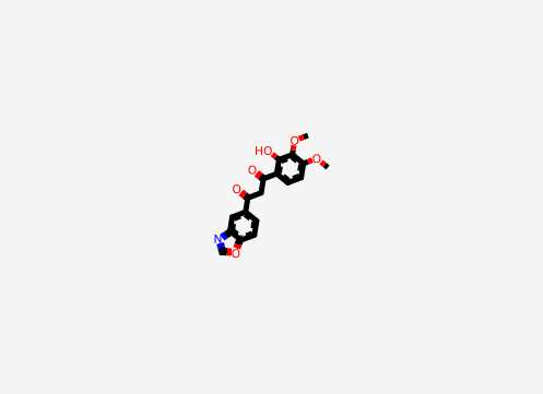 COc1ccc(C(=O)CC(=O)c2ccc3ocnc3c2)c(O)c1OC